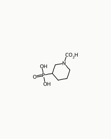 O=C(O)N1CCCC(P(=O)(O)O)C1